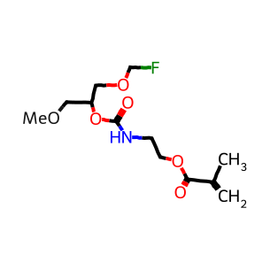 C=C(C)C(=O)OCCNC(=O)OC(COC)COCF